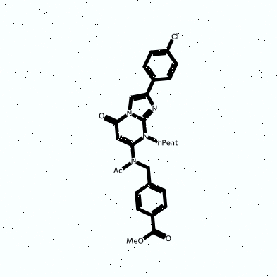 CCCCCn1c(N(Cc2ccc(C(=O)OC)cc2)C(C)=O)cc(=O)n2cc(-c3ccc(Cl)cc3)nc12